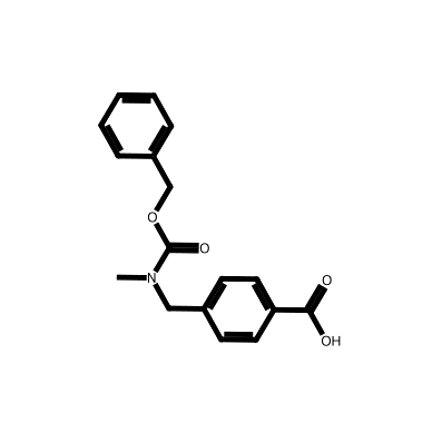 CN(Cc1ccc(C(=O)O)cc1)C(=O)OCc1ccccc1